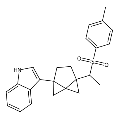 Cc1ccc(S(=O)(=O)C(C)C23CCC4(c5c[nH]c6ccccc56)CC42C3)cc1